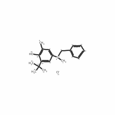 Cc1cc([S+](C)Cc2ccccc2)cc(C(C)(C)C)c1O.[Cl-]